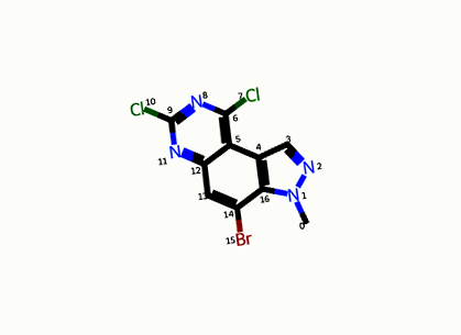 Cn1ncc2c3c(Cl)nc(Cl)nc3cc(Br)c21